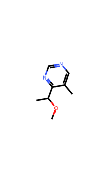 COC(C)c1n[c]ncc1C